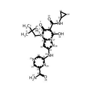 CC(C)(C)Cn1c(=O)c(C(=O)NC2CC2)c(O)n2nc(Nc3cncc(C(N)=O)n3)cc12